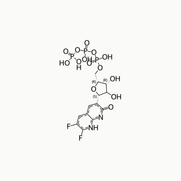 O=c1nc2[nH]c(F)c(F)cc-2cc1[C@@H]1O[C@H](COP(=O)(O)OP(=O)(O)OP(=O)(O)O)[C@H](O)C1O